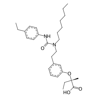 CCCCCCCN(CCc1cccc(O[C@@](C)(CC)C(=O)O)c1)C(=O)Nc1ccc(CC)cc1